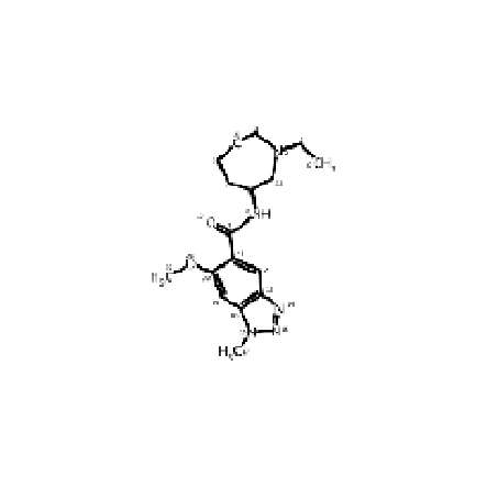 CCN1CCCCC(NC(=O)c2cc3nnn(C)c3cc2OC)C1